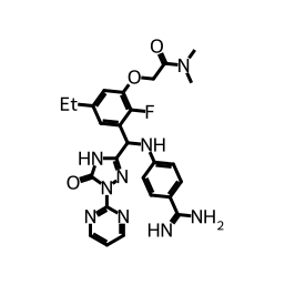 CCc1cc(OCC(=O)N(C)C)c(F)c(C(Nc2ccc(C(=N)N)cc2)c2nn(-c3ncccn3)c(=O)[nH]2)c1